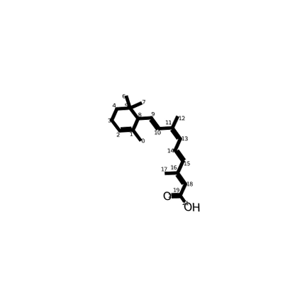 CC1=CCCC(C)(C)C1/C=C/C(C)=C\C=C\C(C)=C\C(=O)O